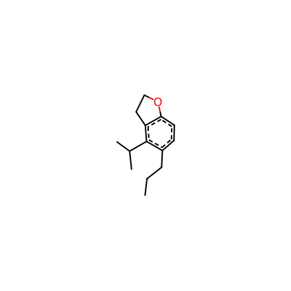 CCCc1ccc2c(c1C(C)C)CCO2